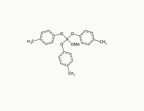 CO[Si](Oc1ccc(C)cc1)(Oc1ccc(C)cc1)Oc1ccc(C)cc1